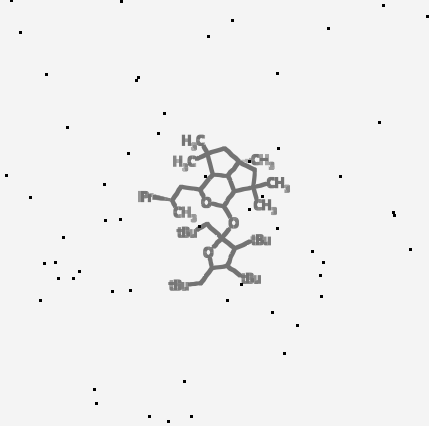 CC(C)[C@H](C)CC1OC(OC2(CC(C)(C)C)OC(CC(C)(C)C)C(C(C)(C)C)C2C(C)(C)C)C2C3C1C(C)(C)C[C@@]3(C)CC2(C)C